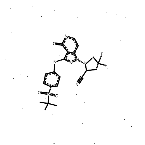 CC(C)(C)S(=O)(=O)c1ccc(Nc2nn([C@H]3CC(F)(F)CC3C#N)c3cc[nH]c(=O)c23)cc1